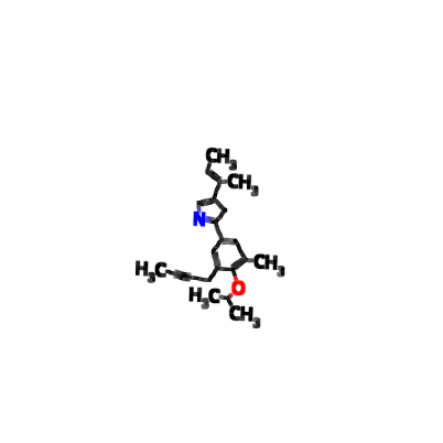 CC#CCc1cc(C2=NC=C(/C(C)=C/C)C2)cc(C)c1OC(C)C